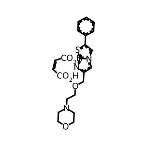 O=C(O)/C=C\C(=O)O.c1ccc(-c2cn3cc(COCCN4CCOCC4)nc3s2)cc1